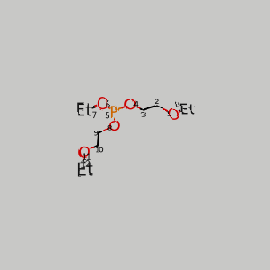 CCOCCOP(OCC)OCCOCC